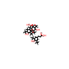 CC(C)(C)C1=C(O)C(C(C)(C)C)C(C)(C)C(C(C)(C(=O)O)C2C(C)(C)C(C(C)(C)C)=C(O)C(C(C)(C)C)C2(C)C)C1(C)C.CC(C)(C)c1cc(CCC(=O)O)cc(C(C)(C)C)c1O